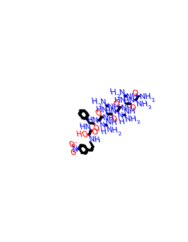 N=C(N)NC(NC(=O)C(NC(=N)N)NC(=O)C(NC(=N)N)NC(=O)C(NC(=N)N)NC(=O)C(NC(=O)C(O)NC/C=C\c1ccc([N+](=O)[O-])cc1)c1ccccc1)C(=O)NC(N)C(N)=O